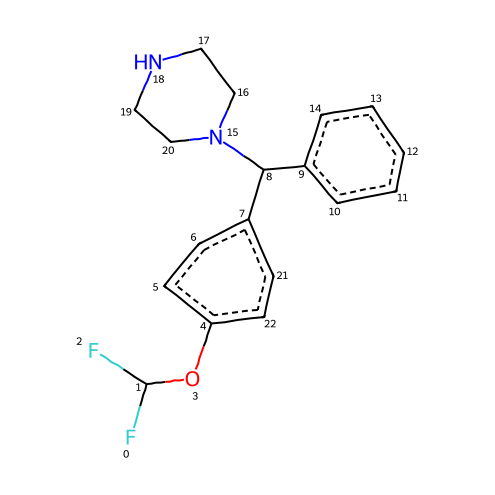 FC(F)Oc1ccc(C(c2ccccc2)N2CCNCC2)cc1